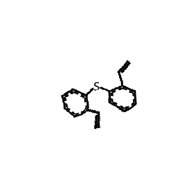 C=Cc1ccccc1Sc1ccccc1C=C